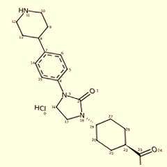 Cl.O=C1N(c2ccc(C3CCNCC3)cc2)CCN1[C@H]1CC[C@H](C(=O)O)CC1